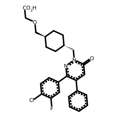 O=C(O)COC[C@H]1CC[C@H](Cn2nc(-c3ccc(Cl)c(F)c3)c(-c3ccccc3)cc2=O)CC1